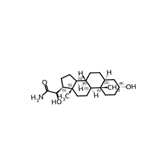 C[C@]12CC[C@@H](O)C[C@@H]1CC[C@@H]1[C@@H]2CC[C@]2(C)[C@@H](C(O)C(N)=O)CC[C@@H]12